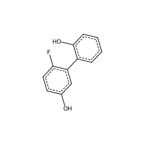 Oc1ccc(F)c(-c2ccccc2O)c1